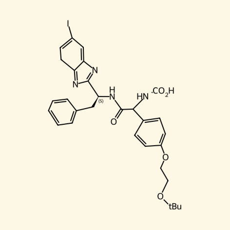 CC(C)(C)OCCOc1ccc(C(NC(=O)O)C(=O)N[C@@H](Cc2ccccc2)C2=NC3=CC(I)=CCC3=N2)cc1